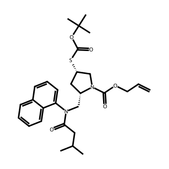 C=CCOC(=O)N1C[C@@H](SC(=O)OC(C)(C)C)C[C@H]1CN(C(=O)CC(C)C)c1cccc2ccccc12